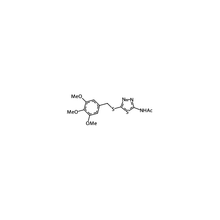 COc1cc(CSc2nnc(NC(C)=O)s2)cc(OC)c1OC